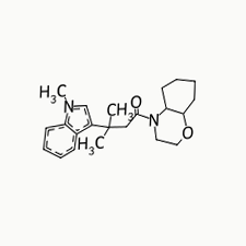 Cn1cc(C(C)(C)CC(=O)N2CCOC3CCCCC32)c2ccccc21